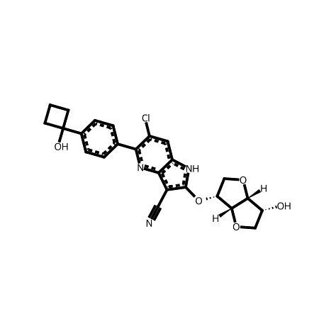 N#Cc1c(O[C@@H]2CO[C@H]3[C@@H]2OC[C@H]3O)[nH]c2cc(Cl)c(-c3ccc(C4(O)CCC4)cc3)nc12